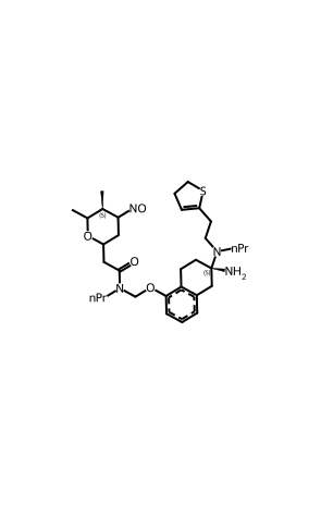 CCCN(COc1cccc2c1CC[C@](N)(N(CCC)CCC1=CCCS1)C2)C(=O)CC1CC(N=O)[C@H](C)C(C)O1